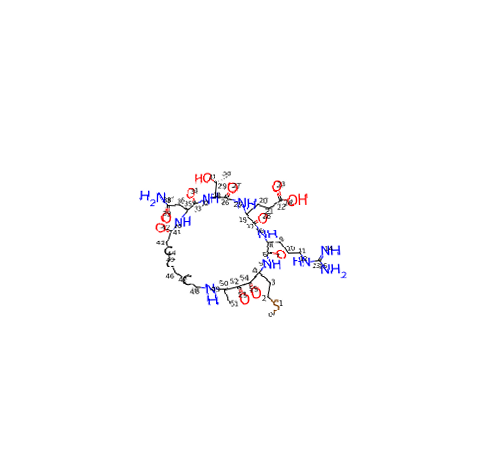 CSCCC1NC(=O)[C@H](CCCNC(=N)N)NC(=O)C(CCC(=O)O)NC(=O)[C@H]([C@@H](C)O)NC(=O)C(CC(N)=O)NC(=O)CCCCCCNC(C)C(=O)C1=O